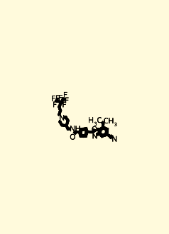 CC(C)c1cc(C#N)cc2nc(-c3ccc(C(=O)NCC4CCN(CCCC(F)(C(F)(F)F)C(F)(F)F)CC4)cc3)oc12